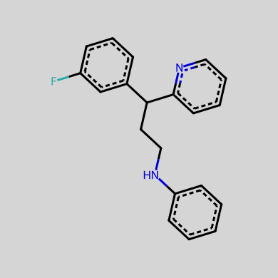 Fc1cccc(C(CCNc2ccccc2)c2ccccn2)c1